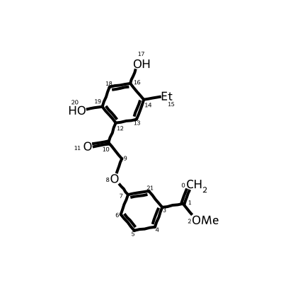 C=C(OC)c1cccc(OCC(=O)c2cc(CC)c(O)cc2O)c1